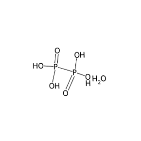 O.O=P(O)(O)P(=O)(O)O